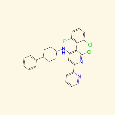 Fc1cccc(Cl)c1-c1c(NC2CCC(c3ccccc3)CC2)cc(-c2ccccn2)nc1Cl